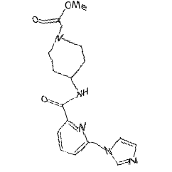 COC(=O)N1CCC(NC(=O)c2cccc(-n3ccnc3)n2)CC1